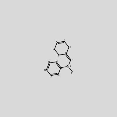 CN(C=C1CC=CCC1)c1ccccc1